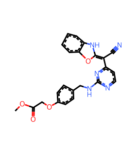 COC(=O)COc1ccc(CNc2nccc(/C(C#N)=C3/Nc4ccccc4O3)n2)cc1